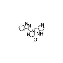 COc1cnc(-c2nn(C)c3ccccc23)nc1Nc1ccncc1C